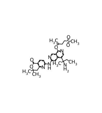 CCC(C)(N)c1cnc(O[C@H](C)CCS(C)(=O)=O)c2cnc(Nc3ccc4c(n3)CC(C)(C)OC4=O)cc12